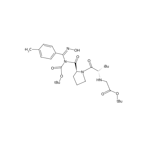 [CH2]c1ccc(C(=NO)N(C(=O)OC(C)(C)C)C(=O)[C@@H]2CCCN2C(=O)[C@@H](NCC(=O)OC(C)(C)C)[C@@H](C)CC)cc1